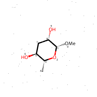 CO[C@@H]1O[C@H](C)[C@@H](O)C[C@@H]1O